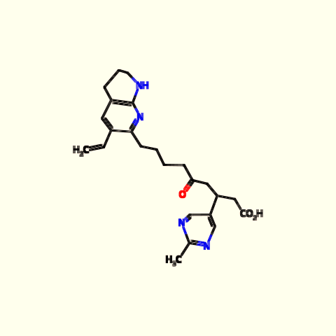 C=Cc1cc2c(nc1CCCCC(=O)CC(CC(=O)O)c1cnc(C)nc1)NCCC2